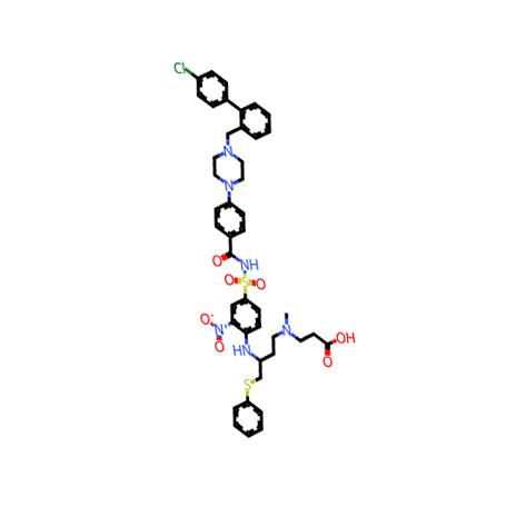 CN(CCC(=O)O)CCC(CSc1ccccc1)Nc1ccc(S(=O)(=O)NC(=O)c2ccc(N3CCN(Cc4ccccc4-c4ccc(Cl)cc4)CC3)cc2)cc1[N+](=O)[O-]